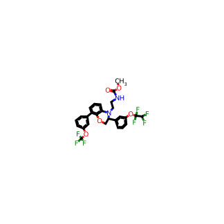 COC(=O)NCCN1c2cccc(-c3cccc(OC(F)(F)F)c3)c2OCC1c1cccc(OC(F)(F)C(F)F)c1